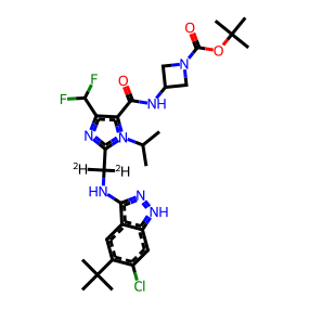 [2H]C([2H])(Nc1n[nH]c2cc(Cl)c(C(C)(C)C)cc12)c1nc(C(F)F)c(C(=O)NC2CN(C(=O)OC(C)(C)C)C2)n1C(C)C